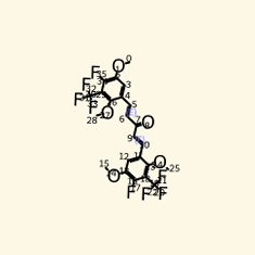 COc1cc(/C=C/C(=O)/C=C/c2cc(OC)c(F)c(C(F)(F)F)c2OC)c(OC)c(C(F)(F)F)c1F